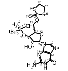 CC(C)(C)[Si](C)(C)OC1[C@@H](O)[C@H](n2cnc3c(=O)[nH]c(N)nc32)O[C@@H]1COP1(=S)SCCS1